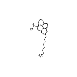 CCCCCCCCc1cc2ccc3cccc4c(C(=O)O)cc(c1)c2c34